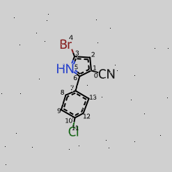 N#Cc1cc(Br)[nH]c1-c1ccc(Cl)cc1